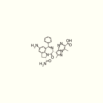 Cc1nn2c(C)c(C(=O)O)nnc2c1[C@H]1N=C(c2ccccc2)c2cc(N)cc3c2N(C1=O)[C@H](C(N)=O)C3